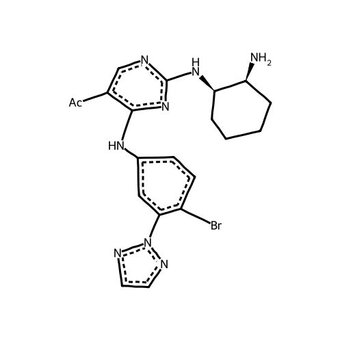 CC(=O)c1cnc(N[C@@H]2CCCC[C@@H]2N)nc1Nc1ccc(Br)c(-n2nccn2)c1